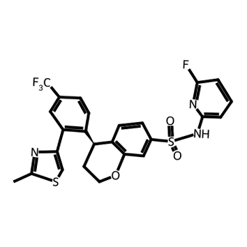 Cc1nc(-c2cc(C(F)(F)F)ccc2[C@@H]2CCOc3cc(S(=O)(=O)Nc4cccc(F)n4)ccc32)cs1